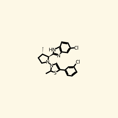 CC1SC(c2cccc(Cl)c2)=[C]N1N1CC[C@H](C)[C@H]1c1nc2cc(Cl)ccc2[nH]1